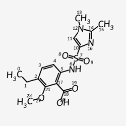 CCc1ccc(NS(=O)(=O)c2cn(C)c(C)n2)c(C(=O)O)c1OC